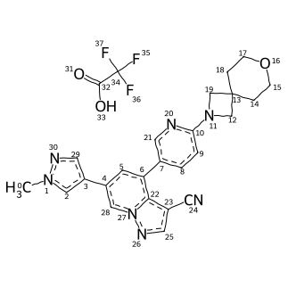 Cn1cc(-c2cc(-c3ccc(N4CC5(CCOCC5)C4)nc3)c3c(C#N)cnn3c2)cn1.O=C(O)C(F)(F)F